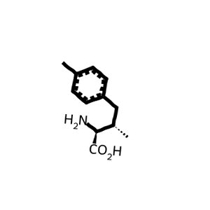 Cc1ccc(C[C@H](C)[C@H](N)C(=O)O)cc1